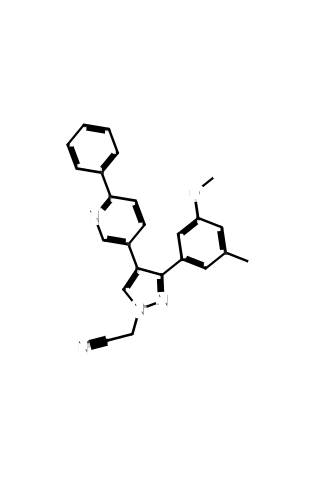 COc1cc(C)cc(-c2nn(CC#N)cc2-c2ccc(-c3ccccc3)nc2)c1